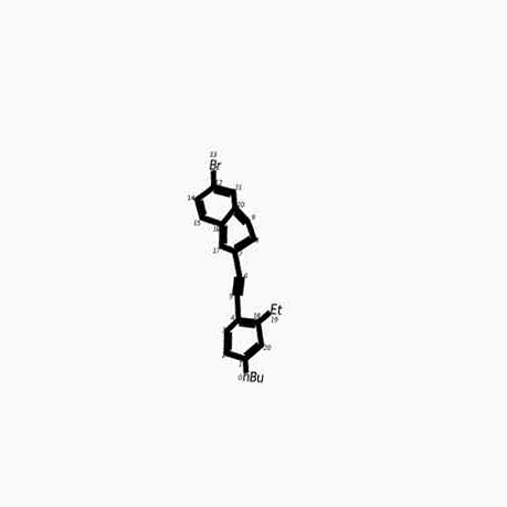 CCCCc1ccc(C#Cc2ccc3cc(Br)ccc3c2)c(CC)c1